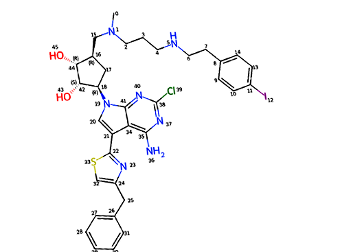 CN(CCCNCCc1ccc(I)cc1)C[C@H]1C[C@@H](n2cc(-c3nc(Cc4ccccc4)cs3)c3c(N)nc(Cl)nc32)[C@H](O)[C@@H]1O